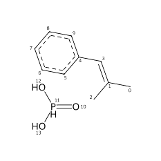 CC(C)=Cc1ccccc1.O=[PH](O)O